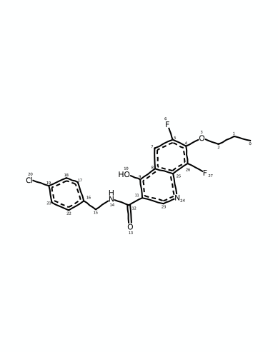 CCCOc1c(F)cc2c(O)c(C(=O)NCc3ccc(Cl)cc3)cnc2c1F